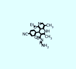 CCOc1ncc(C)c2c1C(c1ccc(C#N)cc1O)C(C(=O)N=NN)=C(C)N2